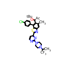 CC(=O)[C@@H](OC(C)(C)C)c1c(C)cc2nc(-c3ccnc(N4CCN(C(C)C(F)(F)F)CC4)n3)sc2c1-c1ccc(Cl)cc1